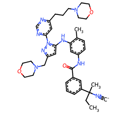 [C-]#[N+]C(C)(CC)c1cccc(C(=O)Nc2ccc(C)c(Nc3cc(CN4CCOCC4)nn3-c3cc(CCCN4CCOCC4)ncn3)c2)c1